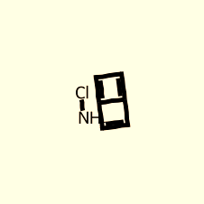 NCl.c1cc2ccc1-2